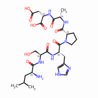 CC(C)C[C@H](N)C(=O)N[C@@H](CO)C(=O)N[C@@H](Cc1c[nH]cn1)C(=O)N1CCC[C@H]1C(=O)N[C@@H](C)C(=O)N[C@@H](CC(=O)O)C(=O)O